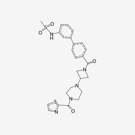 CS(=O)(=O)Nc1cccc(-c2ccc(C(=O)N3CC(N4CCN(C(=O)c5nccs5)CC4)C3)cc2)c1